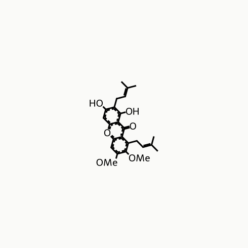 COc1cc2oc3cc(O)c(CC=C(C)C)c(O)c3c(=O)c2c(CC=C(C)C)c1OC